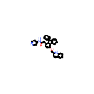 O=C(Cc1ccc(OCc2ccc3ccccc3n2)cc1C1(c2ccccc2)CC2CCC1C2)Nc1ccncc1